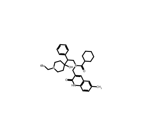 Cc1ccc2[nH]c(=O)c(CN(CC(c3ccccc3)C3(O)CCN(CC(C)(C)C)CC3)C(=O)C3CCCCC3)cc2c1